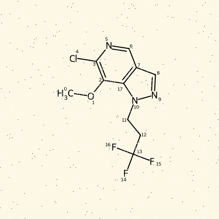 COc1c(Cl)ncc2cnn(CCC(F)(F)F)c12